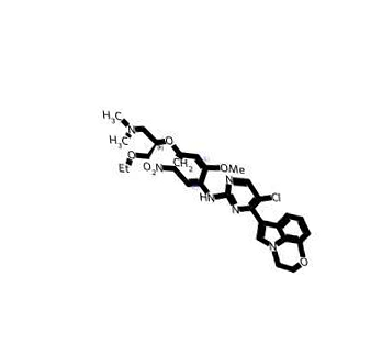 C=C(/C=C(OC)\C(=C/C[N+](=O)[O-])Nc1ncc(Cl)c(-c2cn3c4c(cccc24)OCC3)n1)O[C@@H](COCC)CN(C)C